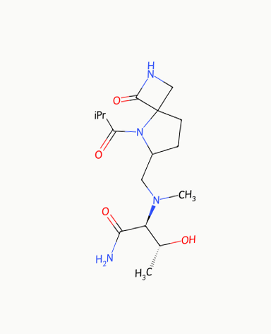 CC(C)C(=O)N1C(CN(C)[C@H](C(N)=O)[C@@H](C)O)CCC12CNC2=O